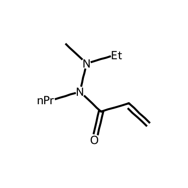 C=CC(=O)N(CCC)N(C)CC